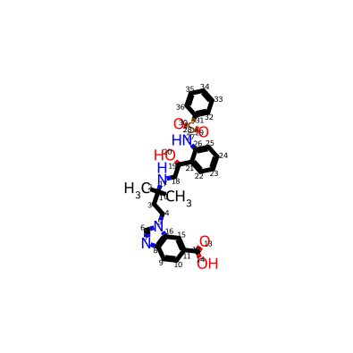 CC(C)(CCn1cnc2ccc(C(=O)O)cc21)NCC(O)c1ccccc1NS(=O)(=O)c1ccccc1